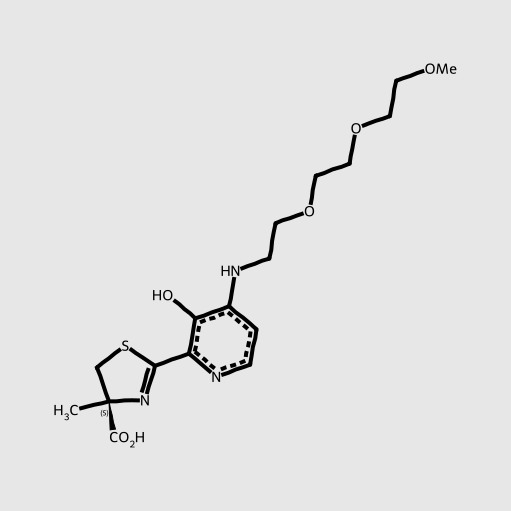 COCCOCCOCCNc1ccnc(C2=N[C@@](C)(C(=O)O)CS2)c1O